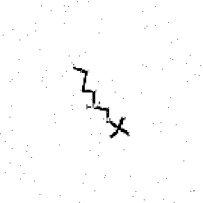 CCCCNCOC(C)(C)C